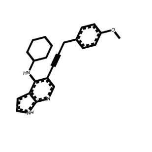 COc1ccc(CC#Cc2cnc3[nH]ccc3c2NC2CCCCC2)cc1